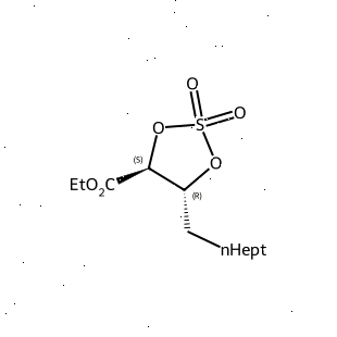 CCCCCCCC[C@H]1OS(=O)(=O)O[C@@H]1C(=O)OCC